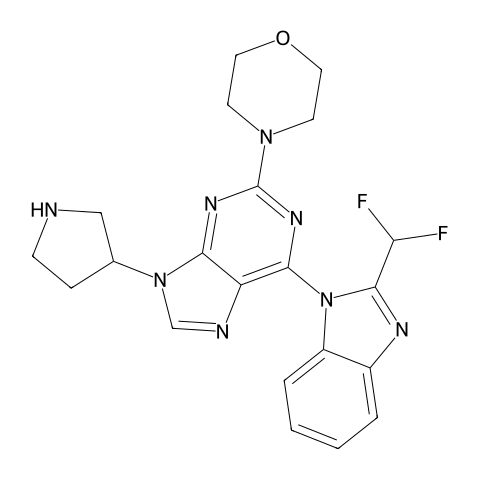 FC(F)c1nc2ccccc2n1-c1nc(N2CCOCC2)nc2c1ncn2C1CCNC1